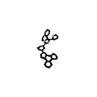 c1ccc(-c2nc(-c3cccc(-c4ccc5c6ccccc6c6ccccc6c5c4)c3)n3ccc4ccccc4c23)nc1